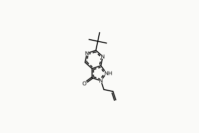 C=CCn1[nH]c2nc(C(C)(C)C)ncc2c1=O